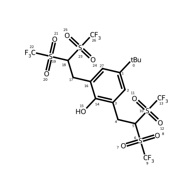 CC(C)(C)c1cc(CC(S(=O)(=O)C(F)(F)F)S(=O)(=O)C(F)(F)F)c(O)c(CC(S(=O)(=O)C(F)(F)F)S(=O)(=O)C(F)(F)F)c1